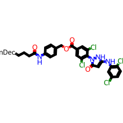 CCCCCCCCCCCCCC(=O)Nc1ccc(COC(=O)c2cc(Cl)c(-n3[nH]c(Nc4cc(Cl)ccc4Cl)cc3=O)c(Cl)c2)cc1